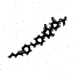 CCCCC[Si@H]1CC[C@H](CCC2CCC(c3cc(F)c(-c4ccc(OC(F)F)c(F)c4)c(F)c3)CC2)CC1